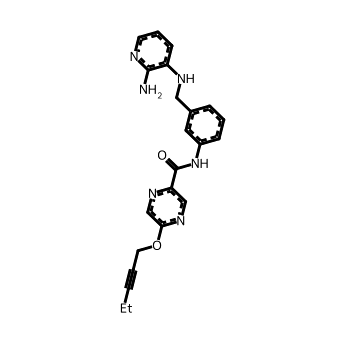 CCC#CCOc1cnc(C(=O)Nc2cccc(CNc3cccnc3N)c2)cn1